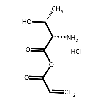 C=CC(=O)OC(=O)[C@@H](N)[C@@H](C)O.Cl